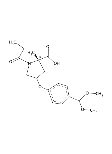 CCC(=O)N1CC(Oc2ccc(C(OC)OC)cc2)C[C@@]1(C)C(=O)O